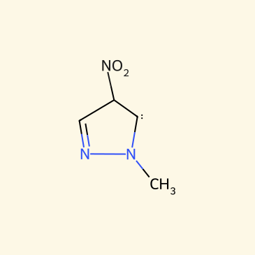 CN1[C]C([N+](=O)[O-])C=N1